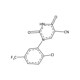 N#Cc1cn(-c2cc(C(F)(F)F)ccc2Cl)c(=O)[nH]c1=O